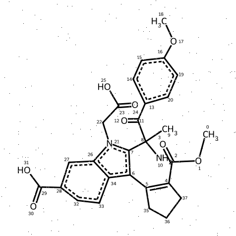 COC(=O)C1=C(c2c(C(C)(N)C(=O)c3ccc(OC)cc3)n(CC(=O)O)c3cc(C(=O)O)ccc23)CCC1